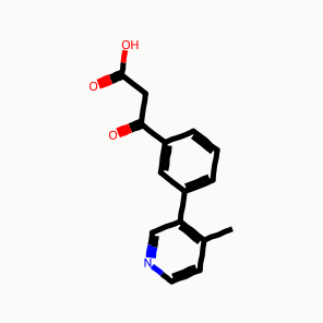 Cc1ccncc1-c1cccc(C(=O)CC(=O)O)c1